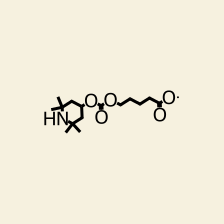 CC1(C)CC(OC(=O)OCCCCC([O])=O)CC(C)(C)N1